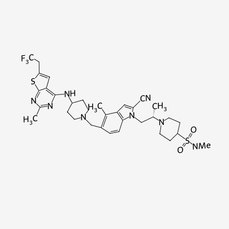 CNS(=O)(=O)C1CCN([C@@H](C)Cn2c(C#N)cc3c(C)c(CN4CCC(Nc5nc(C)nc6sc(CC(F)(F)F)cc56)CC4)ccc32)CC1